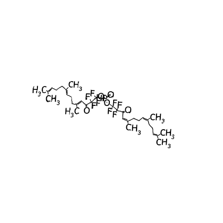 CC(C)=CCCC(C)=CCCC(C)=CC(=O)C(F)(F)C(F)(F)O[PH](=O)OC(F)(F)C(F)(F)C(=O)C=C(C)CCC=C(C)CCC=C(C)C